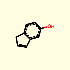 Oc1ccc2c(c1)C=CC2